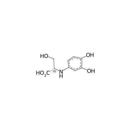 O=C(O)[C@H](CO)Nc1ccc(O)c(O)c1